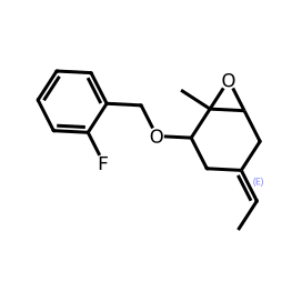 C/C=C1\CC(OCc2ccccc2F)C2(C)OC2C1